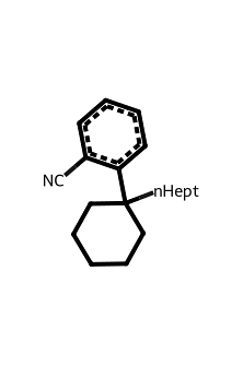 CCCCCCCC1(c2ccccc2C#N)CCCCC1